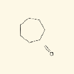 C1CCCCCC1.C=O